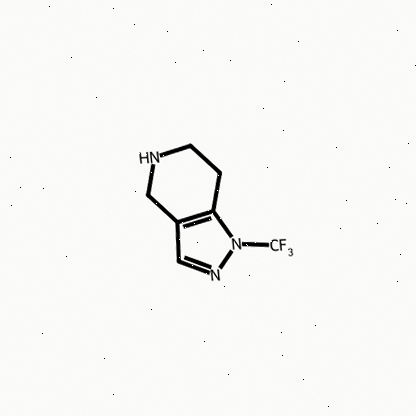 FC(F)(F)n1ncc2c1CCNC2